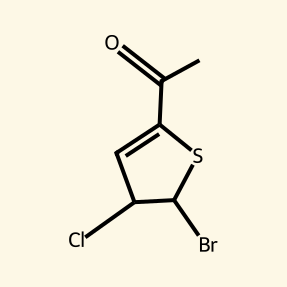 CC(=O)C1=CC(Cl)C(Br)S1